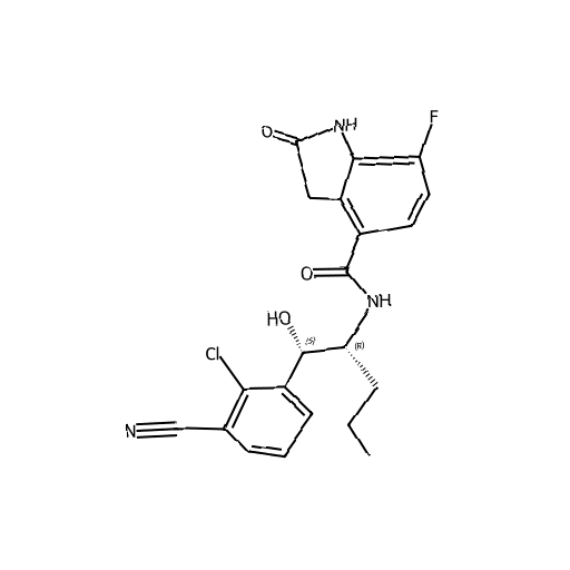 CCC[C@@H](NC(=O)c1ccc(F)c2c1CC(=O)N2)[C@@H](O)c1cccc(C#N)c1Cl